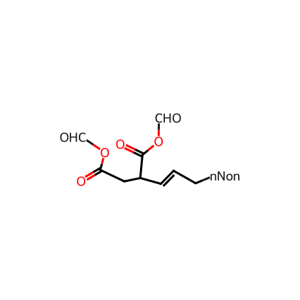 CCCCCCCCCCC=CC(CC(=O)OC=O)C(=O)OC=O